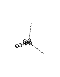 CCCCCCCCCCCCCCCCOC[C@@H](OCCCCCCCCCCCCCCCC)[C@H](C)OC(=O)NCCCOCCOC